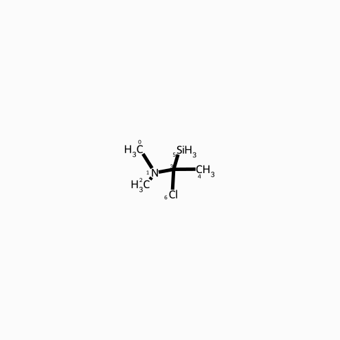 CN(C)C(C)([SiH3])Cl